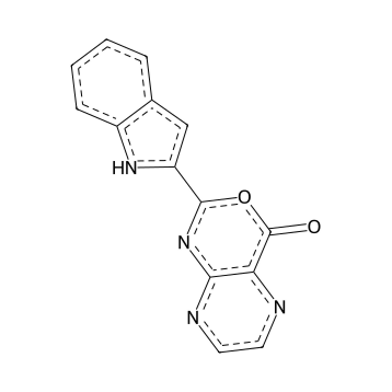 O=c1oc(-c2cc3ccccc3[nH]2)nc2nccnc12